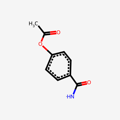 CC(=O)Oc1ccc(C([NH])=O)cc1